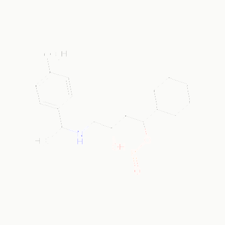 CC(NC[C@@H](O)CC(OP=O)C1CCCCC1)c1ccc(C(=O)O)cc1